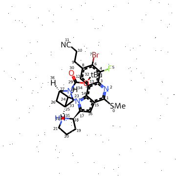 CSc1nc2c(F)c(Br)c(CCC#N)cc2c2c1cc([C@H]1CCCN1)n2[C@H]1[C@@H]2C[C@H]1N(C(=O)OC(C)(C)C)C2